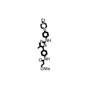 CCN1CCN(c2ccc(Nc3ncc(C)c(-c4ccc(NC(=O)CCOC)cc4)n3)cc2)CC1